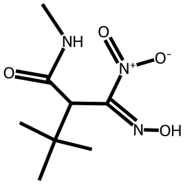 CNC(=O)C(C(=NO)[N+](=O)[O-])C(C)(C)C